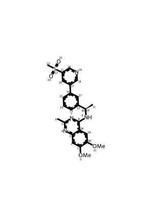 COc1cc2nc(C)nc(N[C@H](C)c3cccc(-c4cncc(S(C)(=O)=O)c4)c3)c2cc1OC